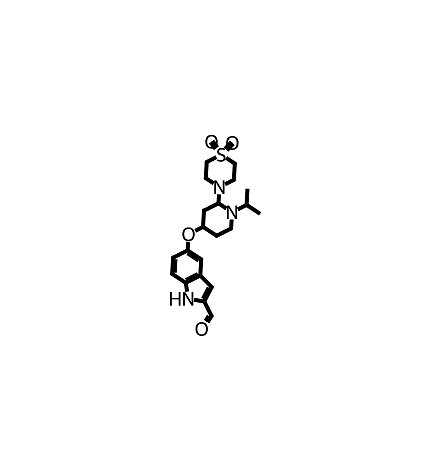 CC(C)N1CCC(Oc2ccc3[nH]c(C=O)cc3c2)CC1N1CCS(=O)(=O)CC1